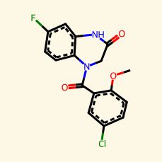 COc1ccc(Cl)cc1C(=O)N1CC(=O)Nc2cc(F)ccc21